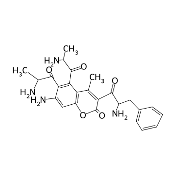 Cc1c(C(=O)C(N)Cc2ccccc2)c(=O)oc2cc(N)c(C(=O)C(C)N)c(C(=O)C(C)N)c12